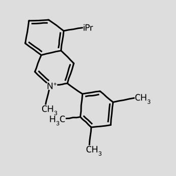 Cc1cc(C)c(C)c(-c2cc3c(C(C)C)cccc3c[n+]2C)c1